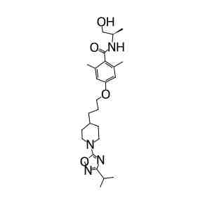 Cc1cc(OCCCC2CCN(c3nc(C(C)C)no3)CC2)cc(C)c1C(=O)N[C@H](C)CO